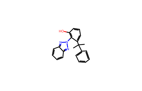 CC(C)(c1ccccc1)c1cccc(O)c1-n1nc2ccccc2n1